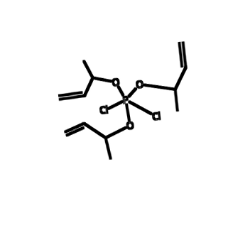 C=CC(C)OP(Cl)(Cl)(OC(C)C=C)OC(C)C=C